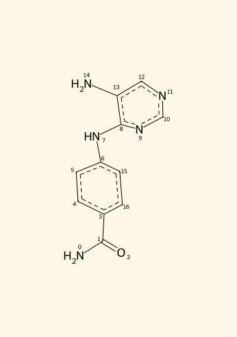 NC(=O)c1ccc(Nc2ncncc2N)cc1